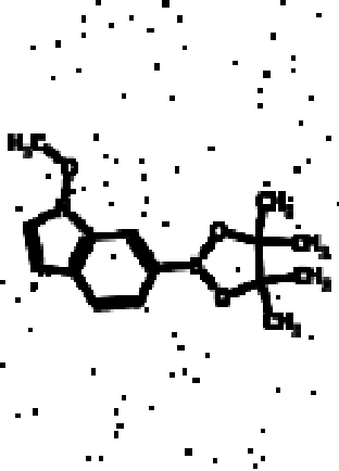 COn1ccc2ccc(B3OC(C)(C)C(C)(C)O3)cc21